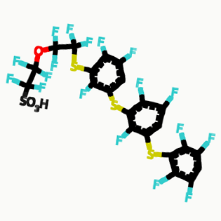 O=S(=O)(O)C(F)(F)C(F)(F)OC(F)(F)C(F)(F)Sc1c(F)c(F)cc(Sc2c(F)c(F)cc(Sc3c(F)c(F)cc(F)c3F)c2F)c1F